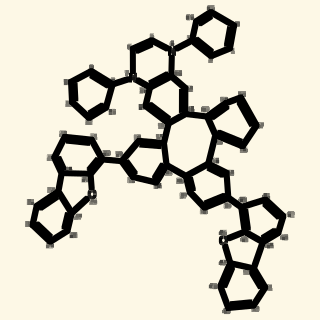 c1ccc(-n2ccn(-c3ccccc3)c3cc4c5cc(-c6cccc7c6oc6ccccc67)ccc5c5ccc(-c6cccc7c6oc6ccccc67)cc5c5ccccc5c4cc32)cc1